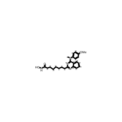 COc1ccc(N(C)c2nc(CCCCCCCC(=O)NO)nc3ccccc23)cc1